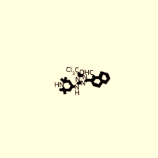 CC1(C)CC(Nc2nc(-c3ccc4ccccc4c3C=O)nc(C(Cl)(Cl)Cl)n2)CC(C)(C)N1